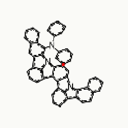 c1ccc(N(c2ccccc2)c2c3ccccc3cc3c4cccc5c6c7c8cccc9c%10ccc%11ccccc%11c%10n(c7ccc6n(c23)c45)c98)cc1